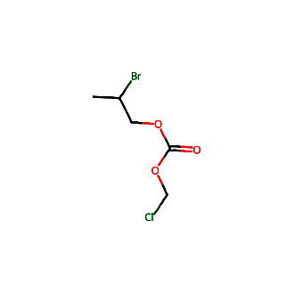 CC(Br)COC(=O)OCCl